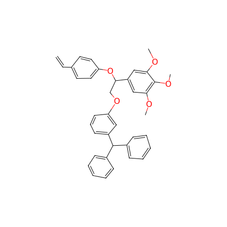 C=Cc1ccc(OC(COc2cccc(C(c3ccccc3)c3ccccc3)c2)c2cc(OC)c(OC)c(OC)c2)cc1